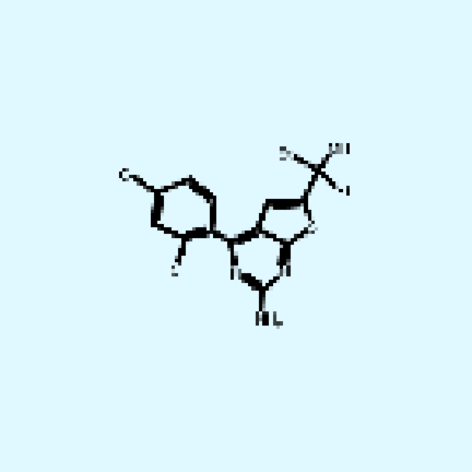 CCC(O)(CC)c1cc2c(-c3ccc(Cl)cc3Cl)nc(N)nc2s1